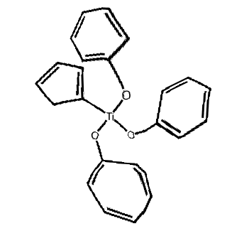 C1=CC[C]([Ti]([O]c2ccccc2)([O]c2ccccc2)[O]c2ccccc2)=C1